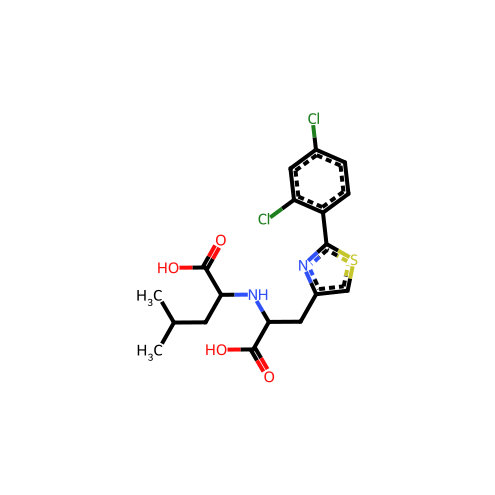 CC(C)CC(NC(Cc1csc(-c2ccc(Cl)cc2Cl)n1)C(=O)O)C(=O)O